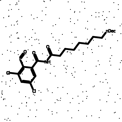 CCCCCCCCCCCCCCCCCC(=O)NC(=O)c1cc(Cl)cc(Cl)c1I=O